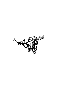 CCOC(=O)N[C@H]1CC[C@@H](NC(=O)c2cc(F)cnc2Oc2cccc(SC)c2)CC1